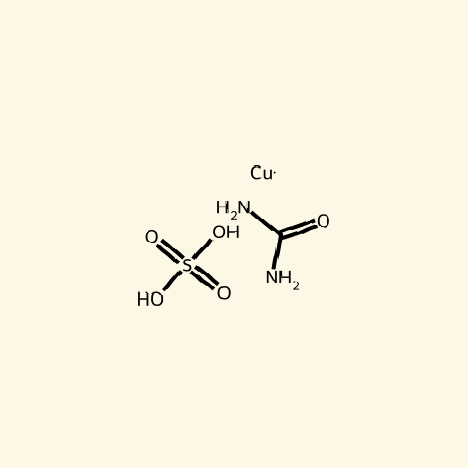 NC(N)=O.O=S(=O)(O)O.[Cu]